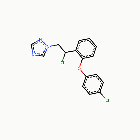 Clc1ccc(Oc2ccccc2C(Cl)Cn2cncn2)cc1